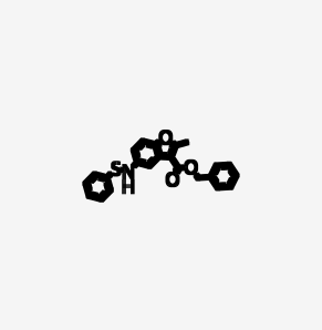 Cc1oc2ccc(NSc3ccccc3)cc2c1C(=O)OCc1ccccc1